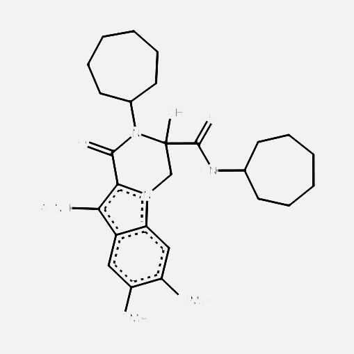 COc1cc2c(NC(C)=O)c3n(c2cc1OC)CC(C)(C(=O)NC1CCCCCC1)N(C1CCCCCC1)C3=O